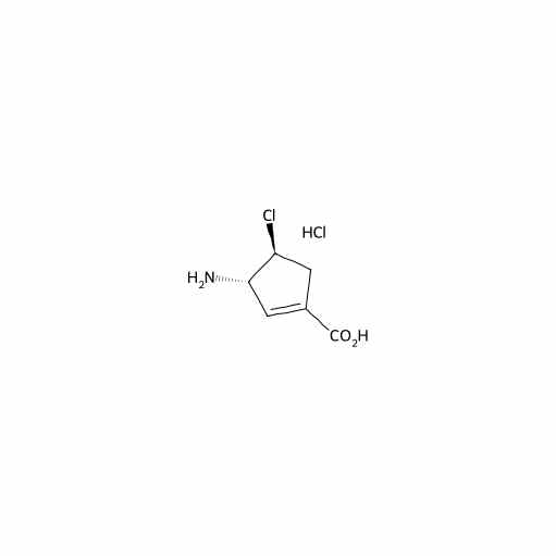 Cl.N[C@H]1C=C(C(=O)O)C[C@@H]1Cl